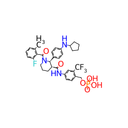 Cc1cccc(F)c1C(=O)N1CCC[C@H](C(=O)Nc2ccc(COP(=O)(O)O)c(C(F)(F)F)c2)[C@@H]1c1ccc(NC2CCCC2)cc1